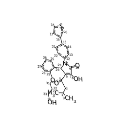 CC(C)CC(=O)C1=C(O)C(=O)N(c2ccc(-c3ccsc3)cc2)C1c1ccccc1OCCCO